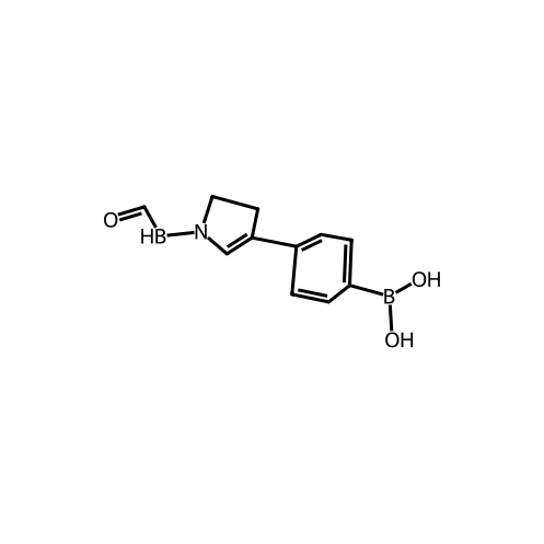 O=CBN1C=C(c2ccc(B(O)O)cc2)CC1